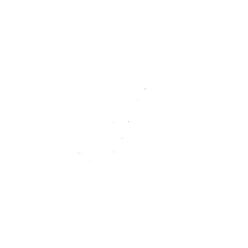 CNC(=O)c1ccc(N2CCOc3c(C(=O)Nc4ccc(C(C)(C)C)cc4)cccc32)nc1